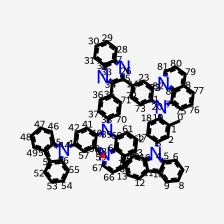 Cc1cc(-n2c3ccccc3c3ccccc32)ccc1N(c1ccc(-c2nc3ccccc3nc2-c2ccc(N(c3ccc(-n4c5ccccc5c5ccccc54)cc3C)c3cccc4cccnc34)cc2)cc1)c1cccc2cccnc12